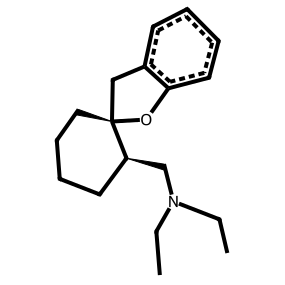 CCN(CC)C[C@H]1CCCC[C@]12Cc1ccccc1O2